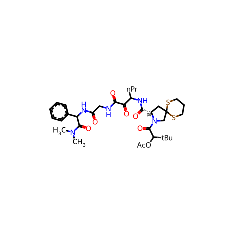 CCCC(NC(=O)[C@@H]1CC2(CN1C(=O)C(OC(C)=O)C(C)(C)C)SCCCS2)C(=O)C(=O)NCC(=O)NC(C(=O)N(C)C)c1ccccc1